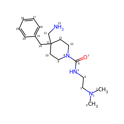 CN(C)CCNC(=O)N1CCC(CN)(Cc2ccccc2)CC1